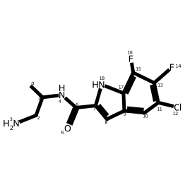 CC(CN)NC(=O)c1cc2cc(Cl)c(F)c(F)c2[nH]1